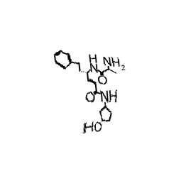 C[C@H](N)C(=O)N[C@H](C=CC(=O)N[C@H]1CC[C@H](O)C1)CCc1ccccc1